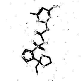 COC1=NN(NC(=O)NS(=O)(=O)c2cscc2C2(CF)OCCO2)NC(C)=C1